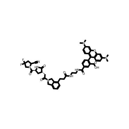 CN(C)c1ccc2c(c1)OC1=CC(N(C)C)C=CC1=C2c1ccc(C(=O)NCCNC(=O)CCc2cccc3c2CN(C(=O)C[C@@H]2C[C@@H](C(=O)N4CC(F)(F)CC4C#N)NC2=O)C3)cc1C(=O)O